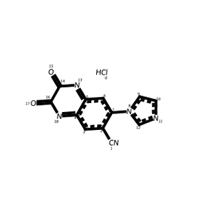 Cl.N#Cc1cc2c(cc1-n1ccnc1)=NC(=O)C(=O)N=2